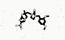 COc1ccc(CN2CCN(CC3(C)Cn4cc([N+](=O)[O-])nc4O3)C2=O)c(OC)c1